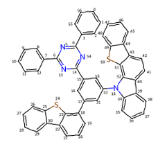 c1ccc(-c2nc(-c3ccccc3)nc(-c3cc(-c4cccc5c4sc4ccccc45)cc(-n4c5ccccc5c5ccc6c7ccccc7sc6c54)c3)n2)cc1